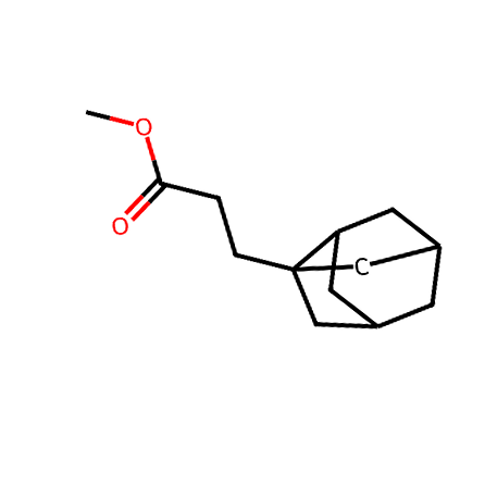 COC(=O)CCC12CC3CC(CC1C3)C2